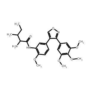 CCC(C)C(N)C(=O)Nc1cc(-c2conc2-c2cc(OC)c(OC)c(OC)c2)ccc1OC